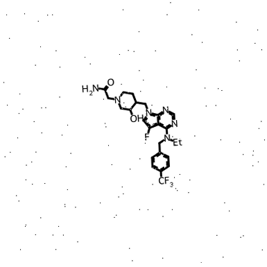 CCN(Cc1ccc(C(F)(F)F)cc1)c1ncnc2c1c(F)cn2CC1CCN(CC(N)=O)CC1O